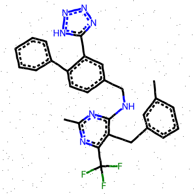 Cc1cccc(Cc2c(NCc3ccc(-c4ccccc4)c(-c4nnn[nH]4)c3)nc(C)nc2C(F)(F)F)c1